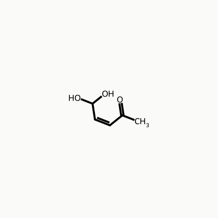 CC(=O)/C=C\C(O)O